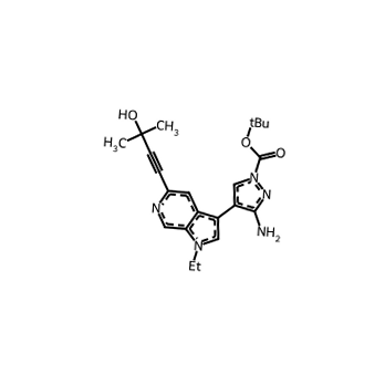 CCn1cc(-c2cn(C(=O)OC(C)(C)C)nc2N)c2cc(C#CC(C)(C)O)ncc21